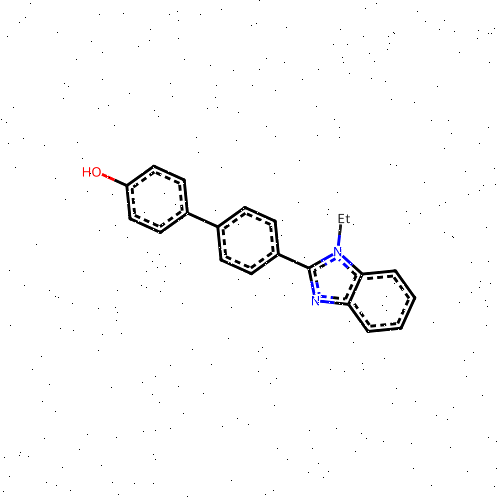 CCn1c(-c2ccc(-c3ccc(O)cc3)cc2)nc2ccccc21